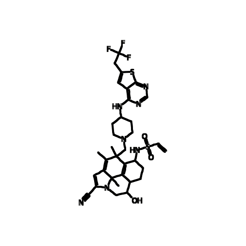 C=CS(=O)(=O)NC1CCC2C3=C1C(C)(CN1CCC(Nc4ncnc5sc(CC(F)(F)F)cc45)CC1)C(C)=C1C=C(C#N)N(CC2O)C13C